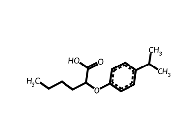 CCCCC(Oc1ccc(C(C)C)cc1)C(=O)O